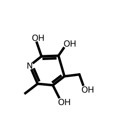 Cc1nc(O)c(O)c(CO)c1O